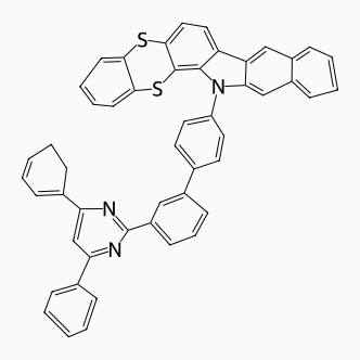 C1=CCCC(c2cc(-c3ccccc3)nc(-c3cccc(-c4ccc(-n5c6cc7ccccc7cc6c6ccc7c(c65)Sc5ccccc5S7)cc4)c3)n2)=C1